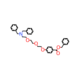 O=C(OCc1ccccc1)c1ccc(OCCOCCOCCN(Cc2ccccc2)Cc2ccccc2)cc1